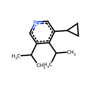 CC(C)c1cncc(C2CC2)c1C(C)C